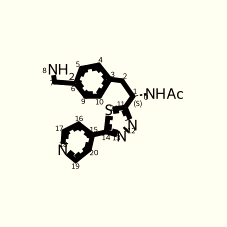 CC(=O)N[C@@H](Cc1ccc(CN)cc1)c1nnc(-c2ccncc2)s1